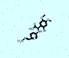 COc1cc(Br)c(C(Nc2ccc(C=NN)cc2)C(=O)O)cc1OC